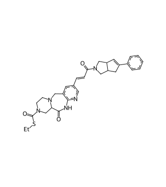 CCSC(=O)N1CCN2Cc3cc(/C=C/C(=O)N4CC5C=C(c6ccccc6)CC5C4)cnc3NC(=O)C2C1